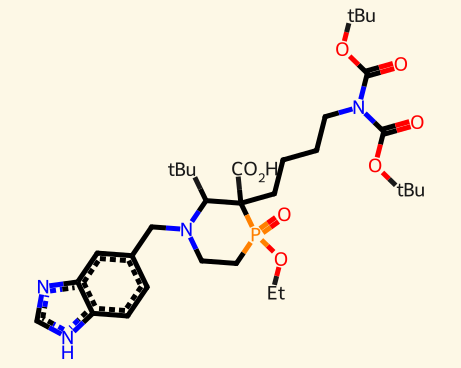 CCOP1(=O)CCN(Cc2ccc3[nH]cnc3c2)C(C(C)(C)C)C1(CCCCN(C(=O)OC(C)(C)C)C(=O)OC(C)(C)C)C(=O)O